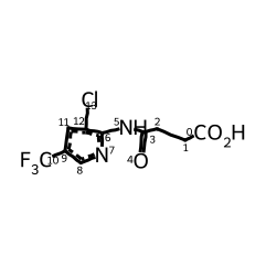 O=C(O)CCC(=O)Nc1ncc(C(F)(F)F)cc1Cl